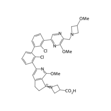 COc1nc(-c2cccc(-c3cccc(-c4cc5c(c(OC)n4)[C@@H](N4CC(C(=O)O)C4)CC5)c3Cl)c2Cl)cnc1CN1CC(OC)C1